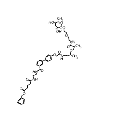 CC(CCNC(=O)COc1ccc(-c2cccc(C(=O)NCCNC(=O)CCCC(=O)OCc3ccccc3)c2)cc1)OCC(C)C(=O)NCCOCCO[C@@H]1O[C@@H](C)[C@H](O)C[C@H]1O